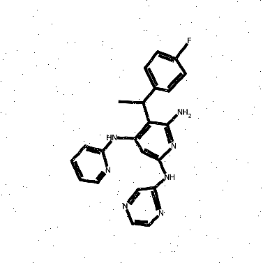 CC(c1ccc(F)cc1)c1c(Nc2ccccn2)cc(Nc2cnccn2)nc1N